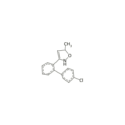 CC1C=C(c2ccccc2-c2ccc(Cl)cc2)NO1